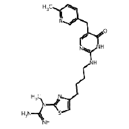 Cc1ccc(Cc2cnc(NCCCCc3csc(N(C)C(=N)N)n3)[nH]c2=O)cn1